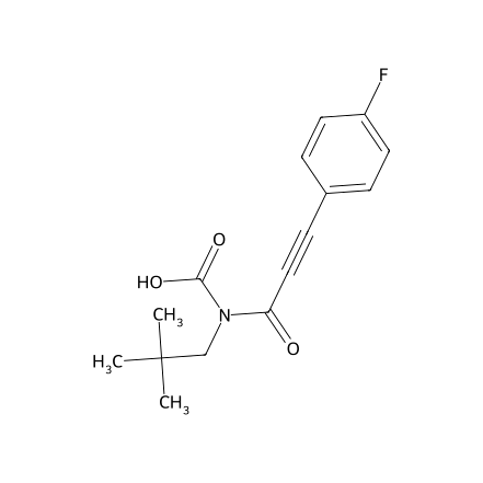 CC(C)(C)CN(C(=O)O)C(=O)C#Cc1ccc(F)cc1